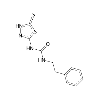 O=C(NCCc1ccccc1)Nc1n[nH]c(=S)s1